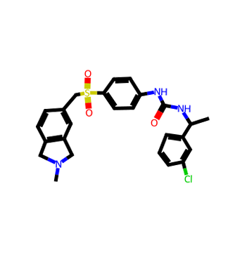 CC(NC(=O)Nc1ccc(S(=O)(=O)Cc2ccc3c(c2)CN(C)C3)cc1)c1cccc(Cl)c1